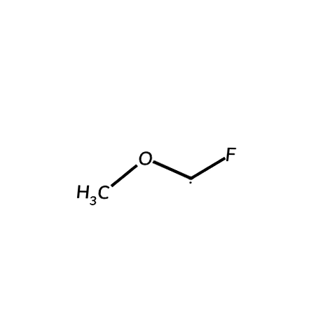 CO[CH]F